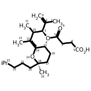 C=C(C)[C@@H](OC(=O)CCC(=O)O)C(C)/C(C)=C1\CCC[C@@](C)(CCCC(C)C)O1